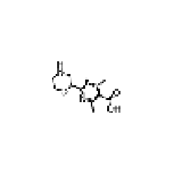 Cc1nc(C2CNCCO2)nc(C)c1C(=O)O